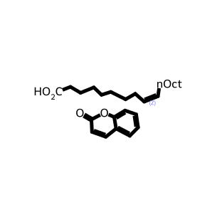 CCCCCCCC/C=C\CCCCCCCC(=O)O.O=c1ccc2ccccc2o1